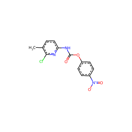 Cc1ccc(NC(=O)Oc2ccc([N+](=O)[O-])cc2)nc1Cl